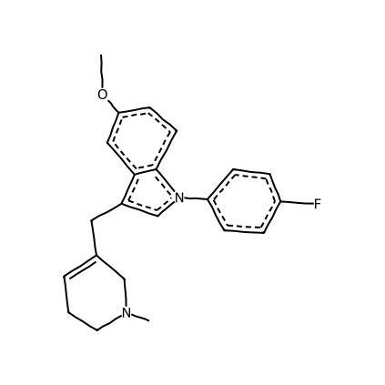 COc1ccc2c(c1)c(CC1=CCCN(C)C1)cn2-c1ccc(F)cc1